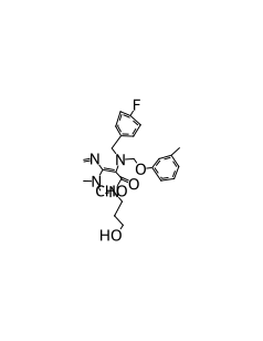 C=N/C(=C(/C(=O)N(C)CCCO)N(COc1cccc(C)c1)Cc1ccc(F)cc1)N(C)C=O